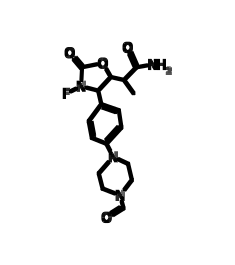 CC(C(N)=O)C1OC(=O)N(F)C1c1ccc(N2CCN(C=O)CC2)cc1